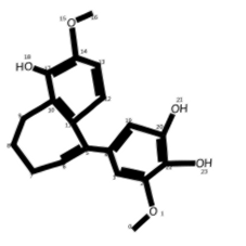 COc1cc(C2=CCCCc3c2ccc(OC)c3O)cc(O)c1O